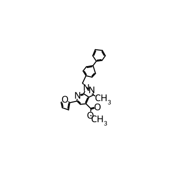 COC(=O)c1cc(-c2ccco2)nc2c1c(C)nn2Cc1ccc(-c2ccccc2)cc1